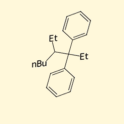 CCCCC(CC)C(CC)(c1ccccc1)c1ccccc1